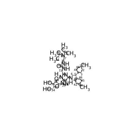 Cc1ccc(C(CNc2nc(CNC(=O)NCCN(C(C)C)C(C)C)nc3c2ncn3[C@@H]2O[C@H](CO)[C@@H](O)[C@H]2O)c2ccc(C)cc2)cc1